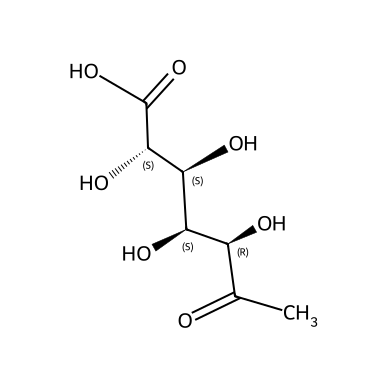 CC(=O)[C@H](O)[C@@H](O)[C@H](O)[C@H](O)C(=O)O